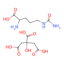 NC(=O)NCCCC(N)C(=O)O.O=C(O)CC(O)(CC(=O)O)C(=O)O